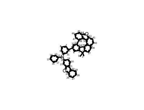 CC1(C)c2cc(-c3cccc(N(c4ccccc4)c4ccc5c(c4)oc4ccccc45)c3)cc3c2-c2c1ccc1ccc4oc5cccc-3c5c4c21